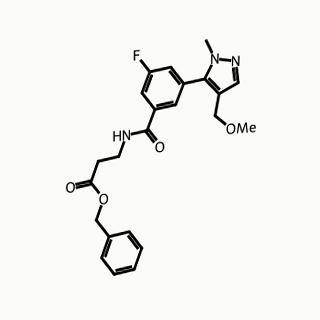 COCc1cnn(C)c1-c1cc(F)cc(C(=O)NCCC(=O)OCc2ccccc2)c1